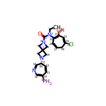 CCN(C(=O)N1CC2(C1)CN([C@@H]1C=CC(P)=CN=C1)C2)C1=C(O)C=C(Cl)CC=C1